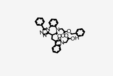 O=C(O)Cn1nc(CC2C(=O)N(CC(=O)OCc3ccccc3)c3ccccc3-n3c(-c4ccccc4)nnc32)c2ccccc21